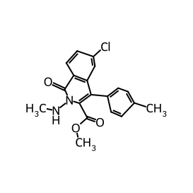 CNn1c(C(=O)OC)c(-c2ccc(C)cc2)c2cc(Cl)ccc2c1=O